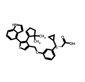 CC1(C)CCC=C1c1c(COc2cccc([C@@H](CC(=O)O)C3CC3)c2)csc1-c1cccc2[nH]ccc12